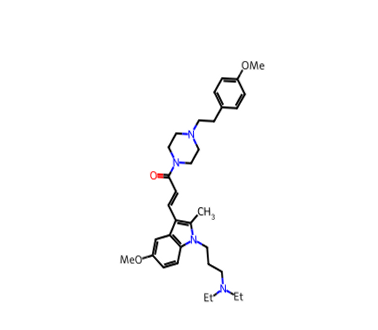 CCN(CC)CCCn1c(C)c(C=CC(=O)N2CCN(CCc3ccc(OC)cc3)CC2)c2cc(OC)ccc21